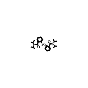 CC(C)N(C(=O)c1ccccc1SSc1ccccc1C(=O)N(C(C)C)C(C)C)C(C)C